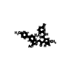 CC(=O)c1nn(CC(=O)N2[C@@H](C(=O)Nc3nc(Br)ccc3C)C[C@@]3(C)C[C@@H]23)c2ccc(-c3cnc(C)nc3)cc12